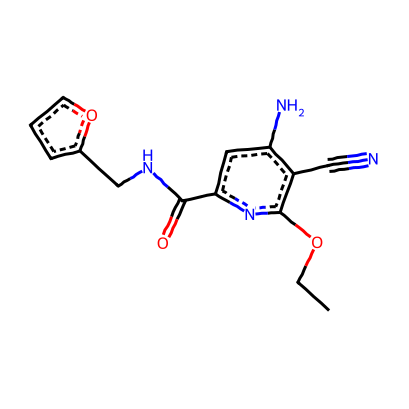 CCOc1nc(C(=O)NCc2ccco2)cc(N)c1C#N